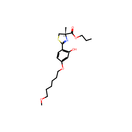 CCCOC(=O)[C@@]1(C)CSC(c2ccc(OCCCCCCOC)cc2O)=N1